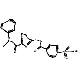 CN(C(=O)c1csc(NC(=O)c2ccc(S(N)(=O)=O)cc2)n1)c1ccccc1